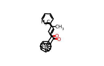 CC(C)CC(=O)[C]12[CH]3[CH]4[CH]5[CH]1[Fe]45321678[CH]2[CH]1[CH]6[C]7(C(=O)C=Cc1ccccc1)[CH]28